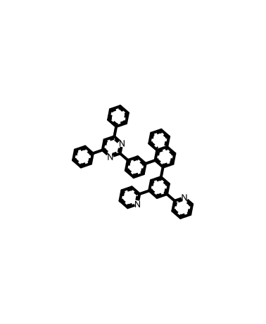 c1ccc(-c2cc(-c3ccccc3)nc(-c3cccc(-c4c(-c5cc(-c6ccccn6)cc(-c6ccccn6)c5)ccc5ccccc45)c3)n2)cc1